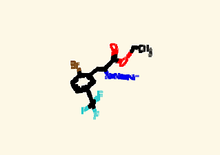 CCOC(=O)C(=Cc1cc(C(F)(F)F)ccc1Br)N=[N+]=[N-]